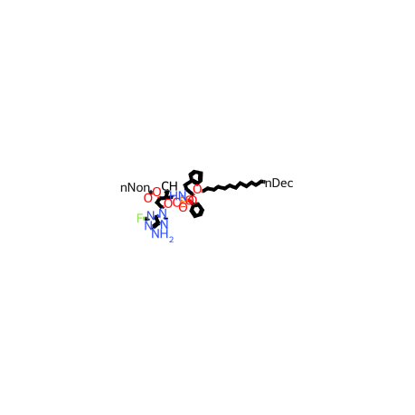 C#CC1(COP(=O)(NC(Cc2ccccc2)C(=O)OCCCCCCCCCCCCCCCCCCCCCC)Oc2ccccc2)OC(n2cnc3c(N)nc(F)nc32)CC1OC(=O)CCCCCCCCC